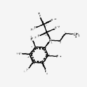 CCCN(c1c(F)c(F)c(F)c(F)c1F)C(F)(F)C(F)(F)F